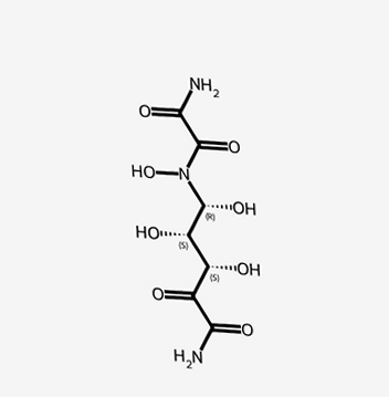 NC(=O)C(=O)[C@@H](O)[C@H](O)[C@@H](O)N(O)C(=O)C(N)=O